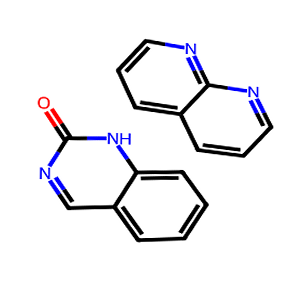 O=c1ncc2ccccc2[nH]1.c1cnc2ncccc2c1